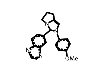 COc1ccc(N2C=C3CCCN3C2c2ccc3nccnc3c2)cc1